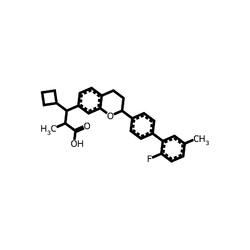 Cc1ccc(F)c(-c2ccc(C3CCc4ccc(C(C5CCC5)C(C)C(=O)O)cc4O3)cc2)c1